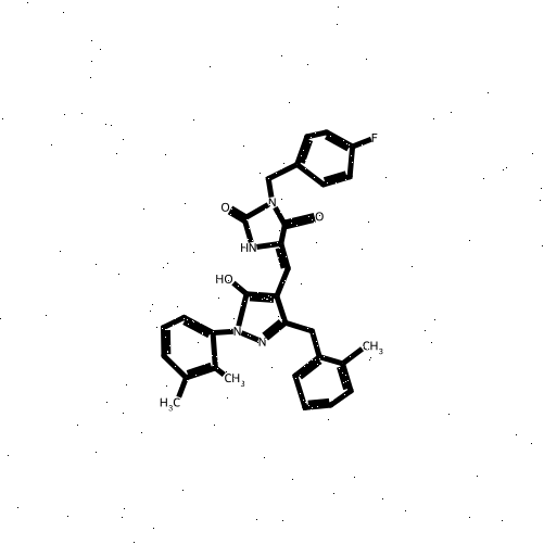 Cc1ccccc1Cc1nn(-c2cccc(C)c2C)c(O)c1/C=C1\NC(=O)N(Cc2ccc(F)cc2)C1=O